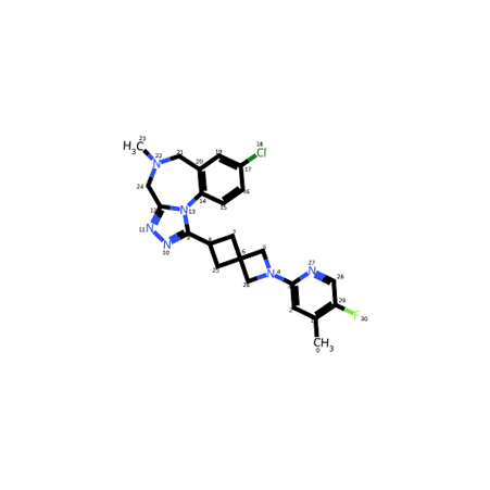 Cc1cc(N2CC3(CC(c4nnc5n4-c4ccc(Cl)cc4CN(C)C5)C3)C2)ncc1F